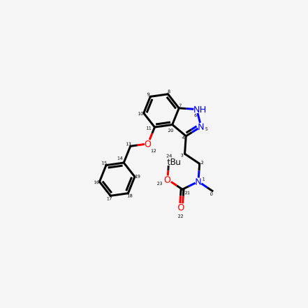 CN(CCc1n[nH]c2cccc(OCc3ccccc3)c12)C(=O)OC(C)(C)C